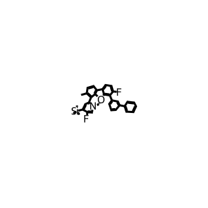 Cc1ccc2c(oc3c(-c4cccc(-c5ccccc5)c4)c(F)ccc32)c1-c1cc([Si](C)(C)C)c(F)c[n+]1C